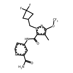 Cc1c(OC(F)(F)F)nn(CC2CC(F)(F)C2)c1C(=O)Nc1ccnc(C(N)=O)c1